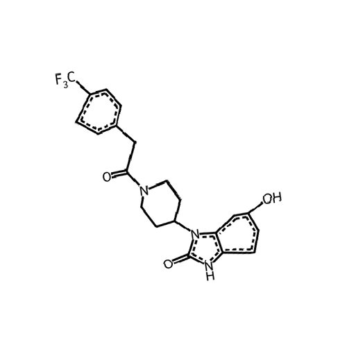 O=C(Cc1ccc(C(F)(F)F)cc1)N1CCC(n2c(=O)[nH]c3ccc(O)cc32)CC1